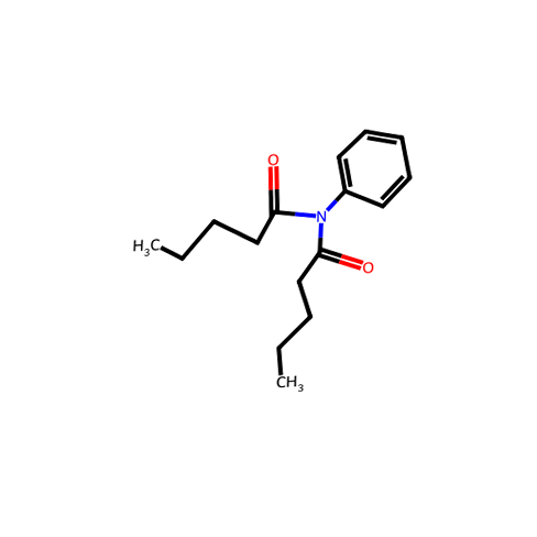 CCCCC(=O)N(C(=O)CCCC)c1ccccc1